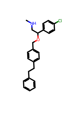 CNCC(OCc1ccc(CCc2ccccc2)cc1)c1ccc(Cl)cc1